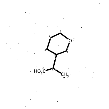 CC(C(=O)O)C1CCCOC1